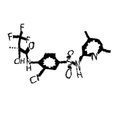 Cc1cc(C)nc(NS(=O)(=O)c2ccc(NC(=O)[C@@](C)(O)C(F)(F)F)c(Cl)c2)c1